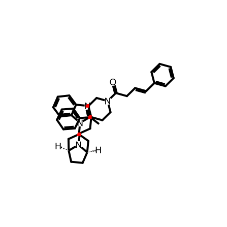 Cc1nc2ccccc2n1C1C[C@H]2CC[C@@H](C1)N2CCC1(c2ccccc2)CCN(C(=O)CC=Cc2ccccc2)CC1